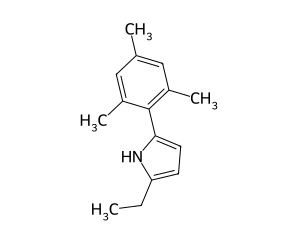 CCc1ccc(-c2c(C)cc(C)cc2C)[nH]1